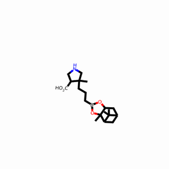 CC1(CCCB2OC3CC4CC(C4(C)C)C3(C)O2)CNCC1C(=O)O